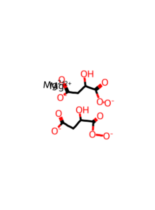 O=C([O-])CC(O)C(=O)O[O-].O=C([O-])CC(O)C(=O)O[O-].[Mg+2].[Mg+2]